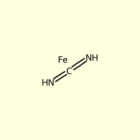 N=C=N.[Fe]